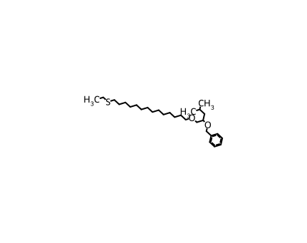 CCSCCCCCCCCCCCCCCOCC(CC(C)C)OCc1ccccc1